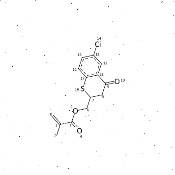 C=C(C)C(=O)OCC1CC(=O)c2cc(Cl)ccc2S1